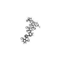 CC(C)C(NC(=O)CNC(=O)O)C(=O)CCN(C(=O)C(Cl)Cl)c1ccnc(-c2cc(-c3c(Cl)cccc3Cl)no2)c1